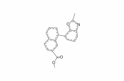 COC(=O)c1ccc2cccc(-c3cccc4nc(C)oc34)c2c1